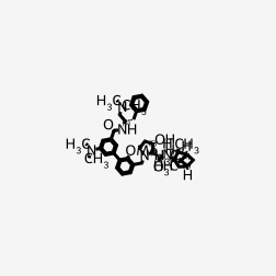 COc1c(CN2CC[C@H](O)[C@H]2C(=O)N[C@H]2C[C@H]3C[C@@H]([C@@H]2C)C3(C)C)cccc1-c1cc(C(=O)N[C@@H](Cc2ccccc2)CN(C)C)cc(N(C)C)c1